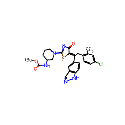 CC(C)(C)OC(=O)NC1CCCN(C2=NC(=O)C(=C(Cc3ccc(Cl)cc3C(F)(F)F)c3ccc4[nH]ncc4c3)S2)C1